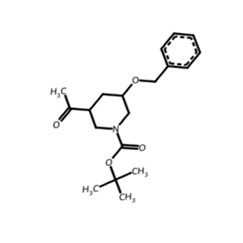 CC(=O)C1CC(OCc2ccccc2)CN(C(=O)OC(C)(C)C)C1